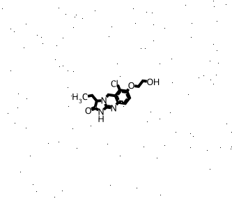 CCC1C(=O)NC2=Nc3ccc(OCCO)c(Cl)c3CN21